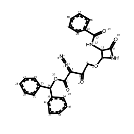 [N-]=[N+]=C(C(=O)COC1NC(=O)C1NC(=O)c1ccccc1)C(=O)OC(c1ccccc1)c1ccccc1